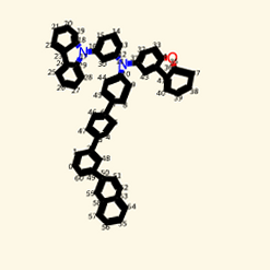 c1cc(-c2ccc(-c3ccc(N(c4cccc(-n5c6ccccc6c6ccccc65)c4)c4ccc5oc6ccccc6c5c4)cc3)cc2)cc(-c2ccc3ccccc3c2)c1